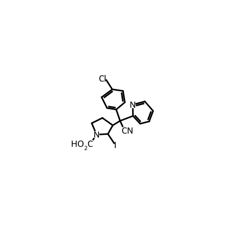 N#CC(c1ccc(Cl)cc1)(c1ccccn1)C1CCN(C(=O)O)C1I